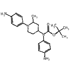 CC1CC(N(C(=O)OC(C)(C)C)c2ccc(N)cc2)CCN1c1ccc(N)cc1